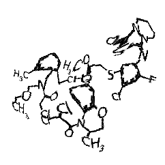 CC1COc2ccccc2N1C(=O)C(Cl)Cl.CCOCN(C(=O)CCl)c1c(C)cccc1CC.COC(=O)CSc1cc(/N=c2\sc(=O)n3n2CCCC3)c(F)cc1Cl